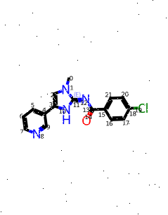 Cn1cc(-c2cccnc2)[nH]/c1=N\C(=O)c1ccc(Cl)cc1